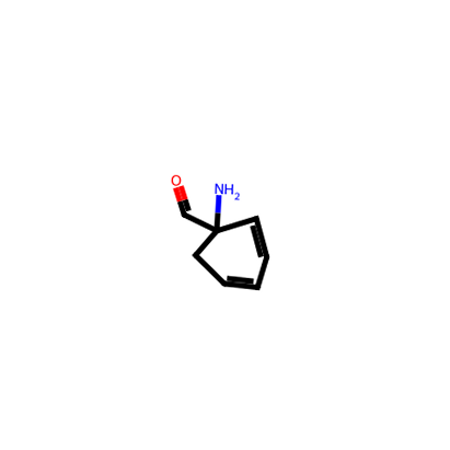 NC1(C=O)C=CC=CC1